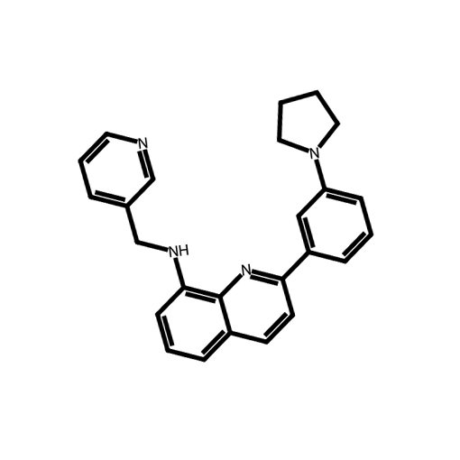 c1cncc(CNc2cccc3ccc(-c4cccc(N5CCCC5)c4)nc23)c1